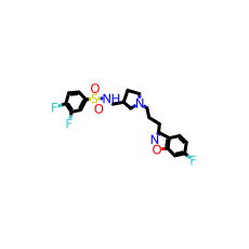 O=S(=O)(NCC1CCN(CCCc2noc3cc(F)ccc23)C1)c1ccc(F)c(F)c1